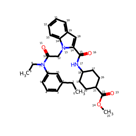 CCc1cccc(N(CC)C(=O)Cn2c(C(=O)NC3CCC(C(=O)OC)CC3)cc3ccccc32)c1